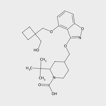 CC(C)(C)C1CC(COc2noc3cccc(OCC4(CO)CCC4)c23)CCN1C(=O)O